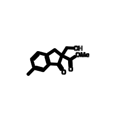 COC(=O)C1(CO)Cc2ccc(C)cc2C1=O